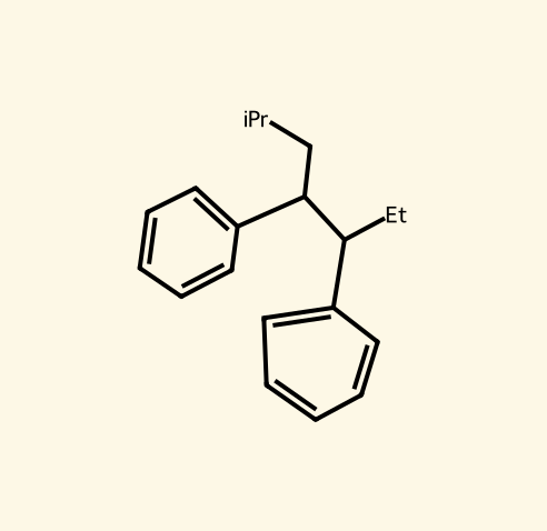 CCC(c1ccccc1)C(CC(C)C)c1ccccc1